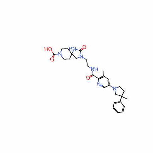 Cc1cc(N2CCC(C)(c3ccccc3)C2)cnc1C(=O)NCCN1CC2(CCN(C(=O)O)CC2)NC1=O